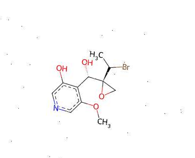 COc1cncc(O)c1[C@H](O)[C@]1(C(C)Br)CO1